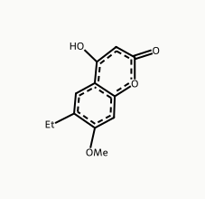 CCc1cc2c(O)cc(=O)oc2cc1OC